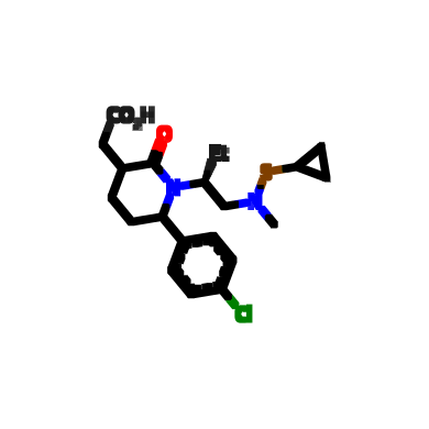 CC[C@@H](CN(C)SC1CC1)N1C(=O)C(CC(=O)O)CCC1c1ccc(Cl)cc1